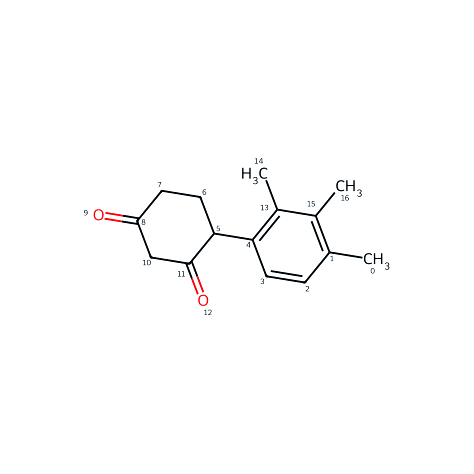 Cc1ccc(C2CCC(=O)CC2=O)c(C)c1C